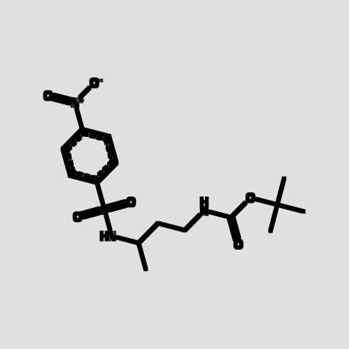 CC(CCNC(=O)OC(C)(C)C)NS(=O)(=O)c1ccc([N+](=O)[O-])cc1